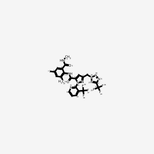 CNC(=O)c1cc(I)cc(C)c1NC(=O)c1cc(Cn2nnc(C(F)(F)F)n2)nn1-c1ncccc1C(F)(F)F